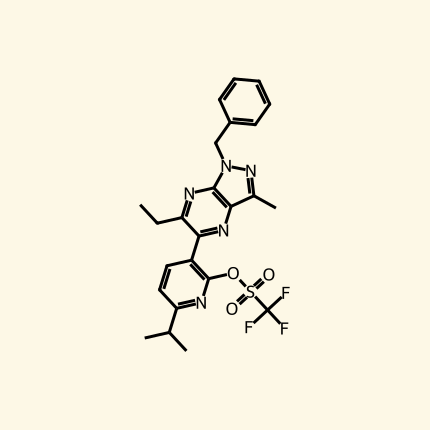 CCc1nc2c(nc1-c1ccc(C(C)C)nc1OS(=O)(=O)C(F)(F)F)c(C)nn2Cc1ccccc1